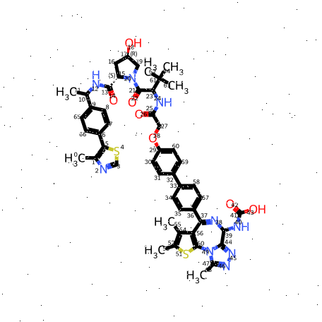 Cc1ncsc1-c1ccc(C(C)NC(=O)[C@@H]2C[C@@H](O)CN2C(=O)C(NC(=O)COc2ccc(-c3ccc(C4=NC(NC(=O)O)c5nnc(C)n5-c5sc(C)c(C)c54)cc3)cc2)C(C)(C)C)cc1